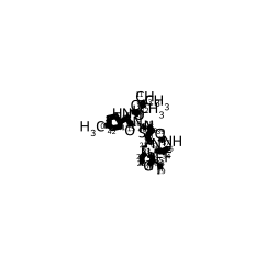 CC1CCC([C@H](NC(=O)OC(C)(C)C)C(=O)Nc2ncc([C@@H](CN3CCO[C@H](CF)C3)N3CC(F)(F)CNC3=O)s2)CC1